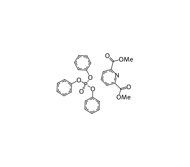 COC(=O)c1cccc(C(=O)OC)n1.O=P(Oc1ccccc1)(Oc1ccccc1)Oc1ccccc1